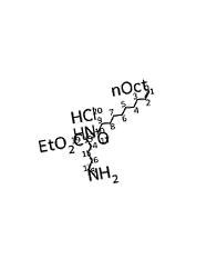 CCCCCCCC/C=C\CCCCCCCC(=O)N[C@@H](CCCCN)C(=O)OCC.Cl